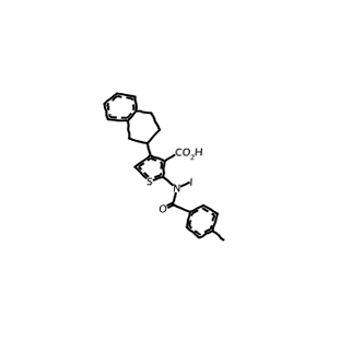 Cc1ccc(C(=O)N(I)c2scc(C3CCc4ccccc4C3)c2C(=O)O)cc1